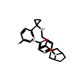 N#Cc1ccc(N2C3CCC2CN(C(=O)CCNC2(c4ccc(F)cn4)CC2)C3)nc1